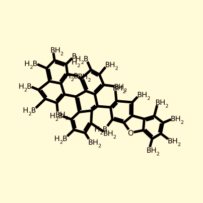 Bc1c(B)c(B)c2c(oc3c(B)c(-c4c5c(B)c(B)c(B)c(B)c5c(-c5c(B)c(B)c(B)c6c(B)c(B)c(B)c(B)c56)c5c(B)c(B)c(B)c(B)c45)c(B)c(B)c32)c1B